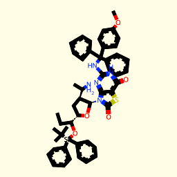 CCC(O[Si](c1ccccc1)(c1ccccc1)C(C)(C)C)[C@@H]1C[C@@H](C(C)N)[C@H](n2c(=O)sc3c(=O)[nH]c(NC(c4ccccc4)(c4ccccc4)c4ccc(OC)cc4)nc32)O1